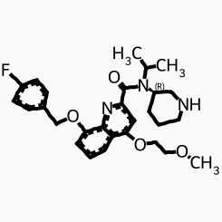 COCCOc1cc(C(=O)N(C(C)C)[C@@H]2CCCNC2)nc2c(OCc3ccc(F)cc3)cccc12